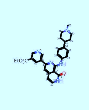 CCOC(=O)c1cncc(-c2cc3cc[nH]c(=O)c3c(Nc3ccc(C4CCN(C)CC4)cc3)n2)c1